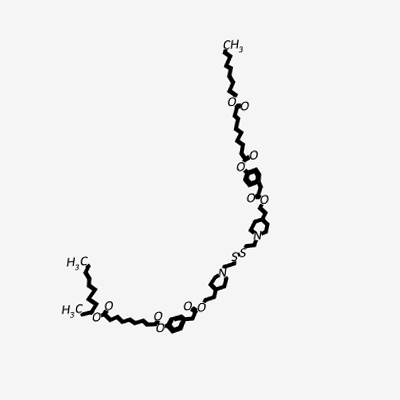 CCCCCCCCCOC(=O)CCCCCCCC(=O)Oc1ccc(CC(=O)OCCC2CCN(CCSSCCN3CCC(CCOC(=O)Cc4ccc(OC(=O)CCCCCCCC(=O)OC(CC)CCCCCCCC)cc4)CC3)CC2)cc1